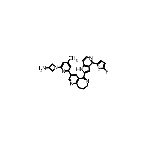 Cc1cc(-c2cnc3c(c2)C(c2cc4c(-c5ccc(F)s5)nccc4[nH]2)=NCCC3)nc(N2CC(N)C2)c1